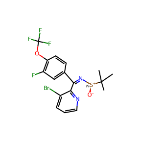 CC(C)(C)[S@@+]([O-])N=C(c1ccc(OC(F)(F)F)c(F)c1)c1ncccc1Br